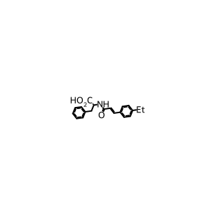 CCc1ccc(/C=C/C(=O)N[C@@H](Cc2ccccc2)C(=O)O)cc1